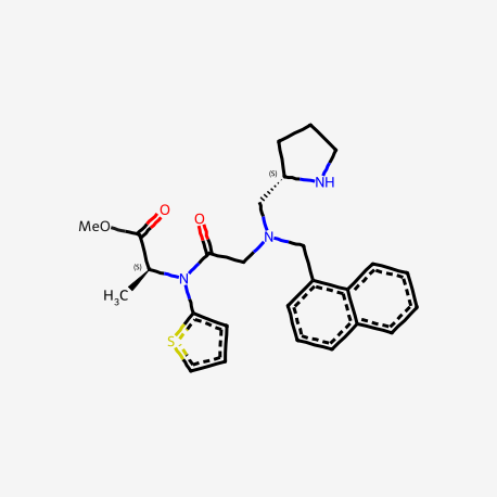 COC(=O)[C@H](C)N(C(=O)CN(Cc1cccc2ccccc12)C[C@@H]1CCCN1)c1cccs1